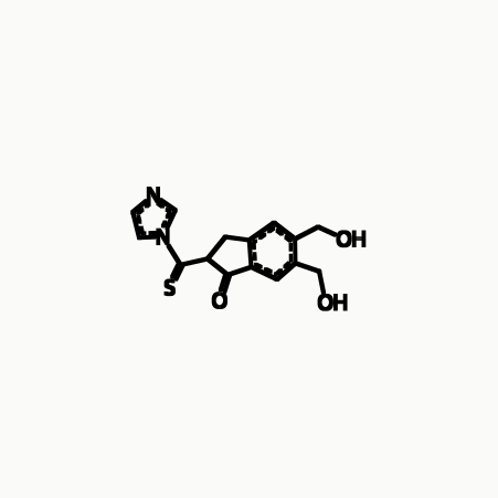 O=C1c2cc(CO)c(CO)cc2CC1C(=S)n1ccnc1